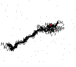 C=C/C=C/C=C(\C)[C@H](C[C@@H]1CC[C@@H](C)[C@](O)(C(=O)C(=O)N2CCCC[C@H]2C(=O)O[C@@H](C[C@@H](O)[C@H](C)/C=C(\C)[C@@H](O)[C@@H](O)/C(=N/OCC(=O)NCc2cnc(N3CCN(C(=O)CCOCCN4CCN(c5ncc(C(=O)NCCOCCC(=O)N6CCc7cc(Cn8nc(-c9ccc%10oc(N)nc%10c9)c9c(N)ncnc98)ccc7C6)cn5)CC4)CC3)nc2)[C@H](C)CC(C)C)[C@H](N)C[C@@H]2CC[C@@H](O)[C@H](OC)C2)O1)OC